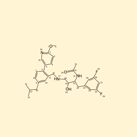 COc1ccc(-c2ccc(CC(C)C)cc2CNCC(O)C(Cc2cc(F)cc(F)c2)NC(C)=O)cn1